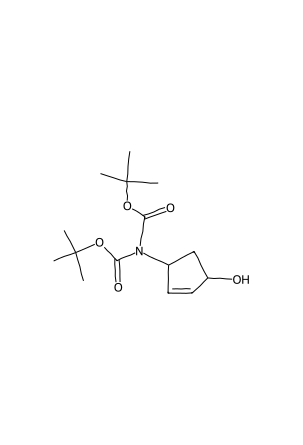 CC(C)(C)OC(=O)N(C(=O)OC(C)(C)C)C1C=CC(O)C1